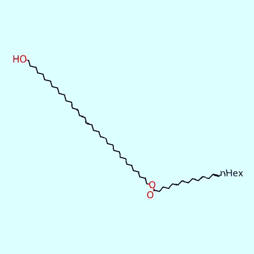 CCCCCCC=CCCCCCCCCCCCC(=O)OCCCCCCCCCCCCCCCCCCCCCCCCCCCCCCCCCCCCO